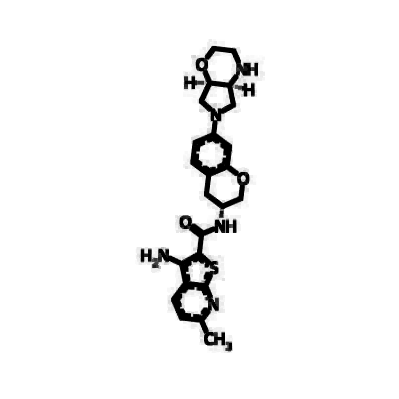 Cc1ccc2c(N)c(C(=O)N[C@H]3COc4cc(N5C[C@@H]6NCCO[C@@H]6C5)ccc4C3)sc2n1